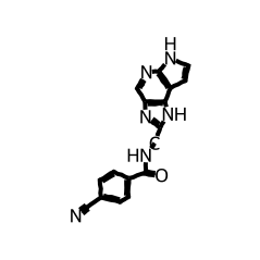 N#Cc1ccc(C(=O)NCc2nc3cnc4[nH]ccc4c3[nH]2)cc1